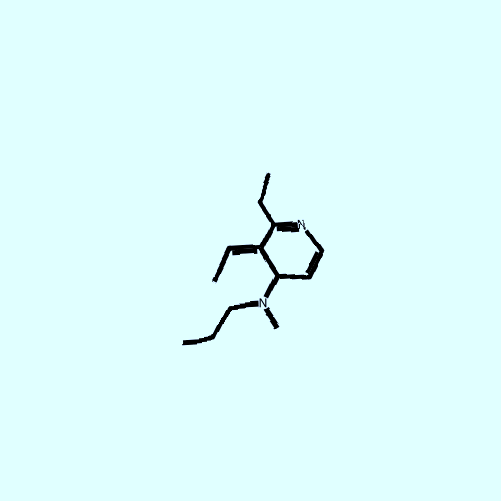 C/C=C1/C(CC)=NC=CC1N(C)CCC